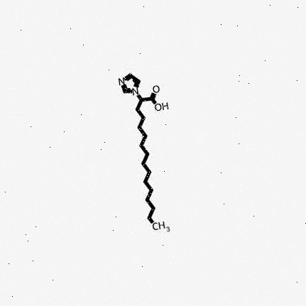 CCCCCCCCCCCCCCC(C(=O)O)n1ccnc1